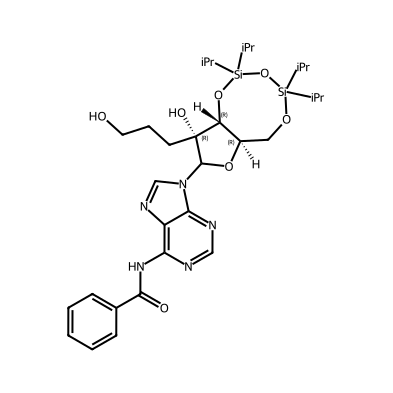 CC(C)[Si]1(C(C)C)OC[C@H]2OC(n3cnc4c(NC(=O)c5ccccc5)ncnc43)[C@@](O)(CCCO)[C@@H]2O[Si](C(C)C)(C(C)C)O1